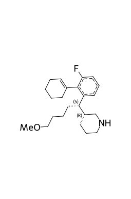 COCCCC[C@H](c1cccc(F)c1C1=CCCCC1)[C@H]1CCCNC1